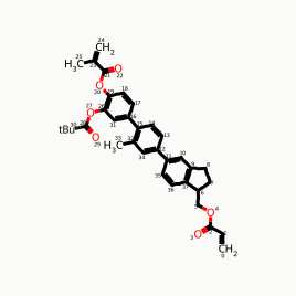 C=CC(=O)OCC1CCc2cc(-c3ccc(-c4ccc(OC(=O)C(=C)C)c(OC(=O)C(C)(C)C)c4)c(C)c3)ccc21